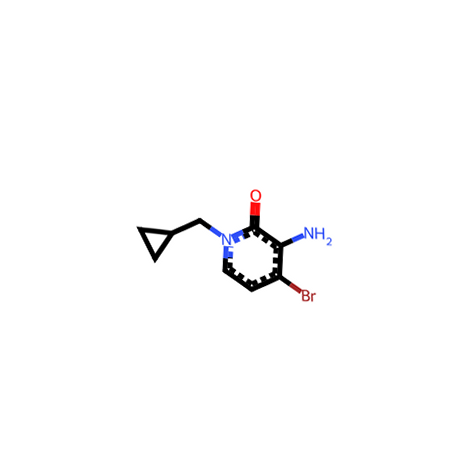 Nc1c(Br)ccn(CC2CC2)c1=O